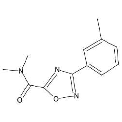 Cc1cccc(-c2noc(C(=O)N(C)C)n2)c1